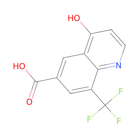 O=C(O)c1cc(C(F)(F)F)c2nccc(O)c2c1